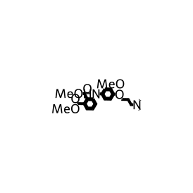 COC(=O)c1cccc(Nc2ccc(OCCCN(C)C)cc2OC)c1C(=O)OC